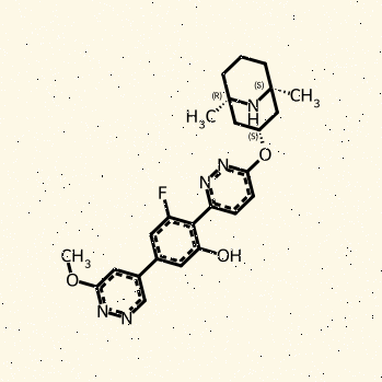 COc1cc(-c2cc(O)c(-c3ccc(O[C@H]4C[C@]5(C)CCC[C@](C)(C4)N5)nn3)c(F)c2)cnn1